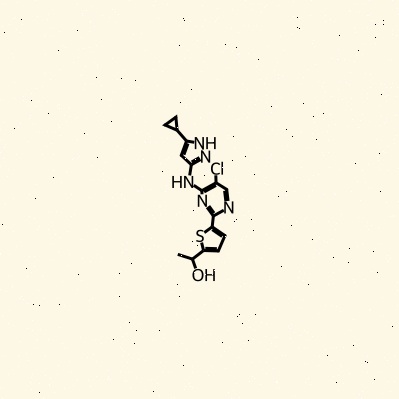 CC(O)c1ccc(-c2ncc(Cl)c(Nc3cc(C4CC4)[nH]n3)n2)s1